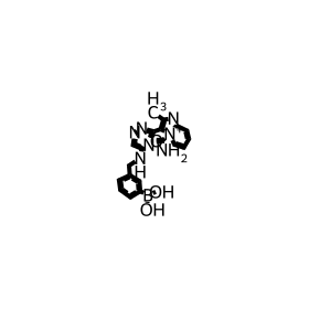 CC1=C(c2nncc(NCc3cccc(B(O)O)c3)n2)[N+]2(C(N)=O)C=CC=CC2=N1